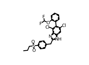 CCCS(=O)(=O)c1ccc(Cc2nc3c(Cl)c(-c4ccccc4OC(F)F)c(Cl)cc3[nH]2)cc1